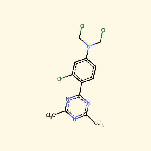 ClCN(CCl)c1ccc(-c2nc(C(Cl)(Cl)Cl)nc(C(Cl)(Cl)Cl)n2)c(Cl)c1